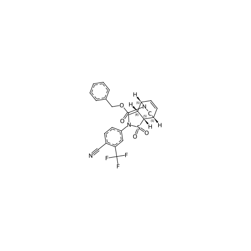 N#Cc1ccc(N2C[C@H]3[C@H]([C@H]4C=C[C@@H]3N(C(=O)OCc3ccccc3)C4)S2(=O)=O)cc1C(F)(F)F